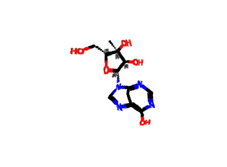 C[C@@]1(O)[C@@H](CO)O[C@@H](n2cnc3c(O)ncnc32)[C@@H]1O